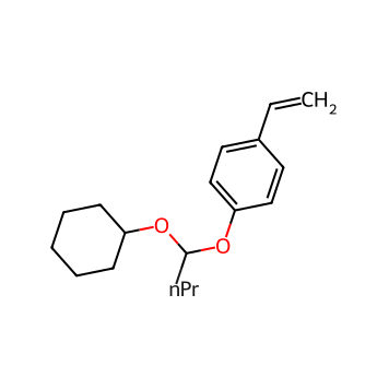 C=Cc1ccc(OC(CCC)OC2CCCCC2)cc1